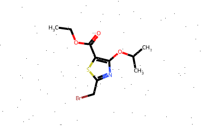 CCOC(=O)c1sc(CBr)nc1OC(C)C